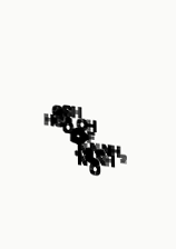 Nc1nc2c(ncn2C2CC(OCP(=O)(O)O)C(O)C2F)c(=O)[nH]1